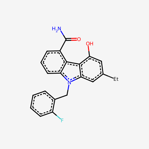 CCc1cc(O)c2c3c(C(N)=O)cccc3n(Cc3ccccc3F)c2c1